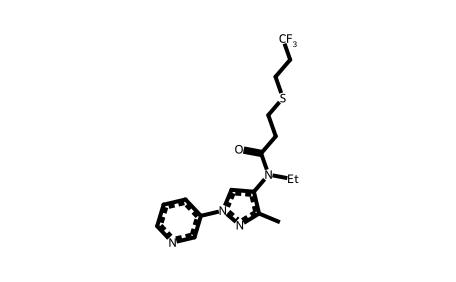 CCN(C(=O)CCSCCC(F)(F)F)c1cn(-c2cccnc2)nc1C